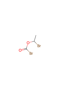 CC(Br)OC(=O)Br